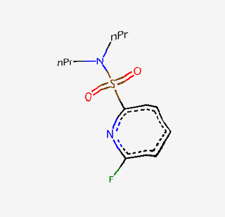 CCCN(CCC)S(=O)(=O)c1cccc(F)n1